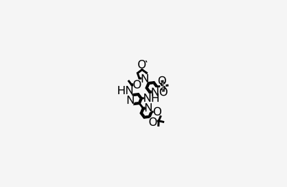 COC1CCN(c2cc(Nc3cc(NC(C)=O)ncc3-c3ccc4c(n3)OCC(C)(C)O4)nc(S(C)(=O)=O)c2)C1